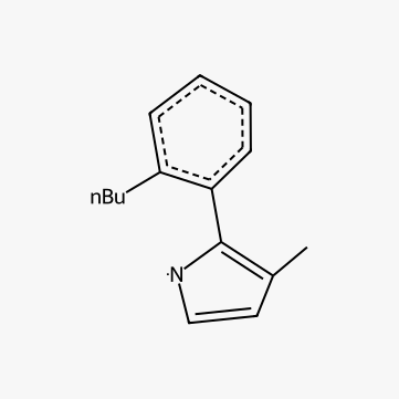 CCCCc1ccccc1C1=C(C)C=C[N]1